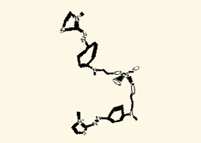 CN(CCOS(=O)(=O)OCCN(C)c1ccc(/N=N/c2scc[n+]2C)cc1)c1ccc(/N=N/c2scc[n+]2C)cc1